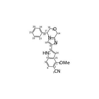 COc1c(C#N)ccc2[nH]c(-c3cn4c(n3)COCC4c3ccccc3)cc12